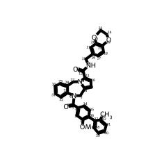 COc1cc(C(=O)N2Cc3ccc(C(=O)NCc4ccc5c(c4)OCCO5)n3Cc3ccccc32)ccc1-c1ccccc1C